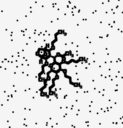 CCCCOC[C@H]1OC([C@@H](OC(C)=O)[C@@H]2[C@H](OCCCC)[C@H]3OC[C@@H](O3)[C@H]2OCCCC)[C@@H](OCCCC)[C@@H](OCCCC)[C@@H]1OCCCC